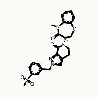 CN1C(=O)[C@@H](N2CCc3cn(Cc4cccc(S(C)(=O)=O)c4)nc3C2=O)COc2ccccc21